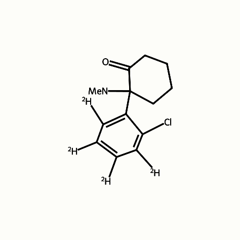 [2H]c1c([2H])c([2H])c(C2(NC)CCCCC2=O)c(Cl)c1[2H]